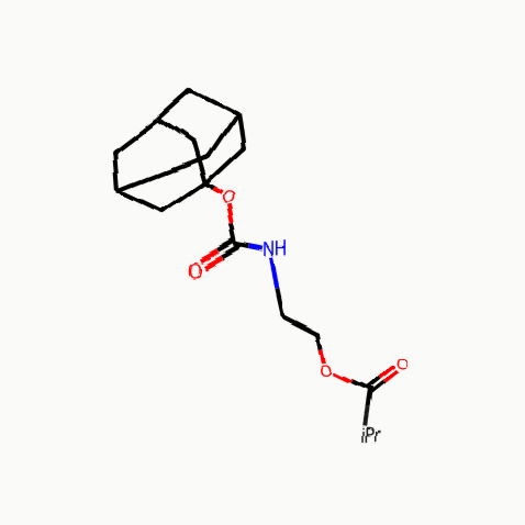 CC(C)C(=O)OCCNC(=O)OC12CC3CC(CC(C3)C1)C2